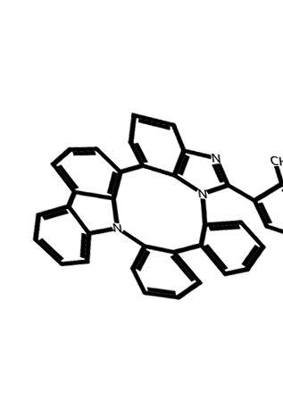 Cc1ccccc1-c1nc2cccc3c4cccc5c6ccccc6n(c6ccccc6c6ccccc6n1c23)c45